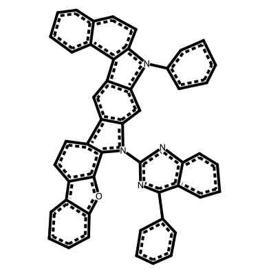 c1ccc(-c2nc(-n3c4cc5c(cc4c4ccc6c7ccccc7oc6c43)c3c4ccccc4ccc3n5-c3ccccc3)nc3ccccc23)cc1